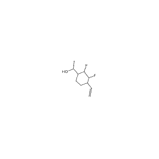 C=CC1CCC(C(C)O)C(F)C1F